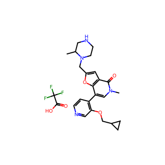 CC1CNCCN1Cc1cc2c(=O)n(C)cc(-c3ccncc3OCC3CC3)c2o1.O=C(O)C(F)(F)F